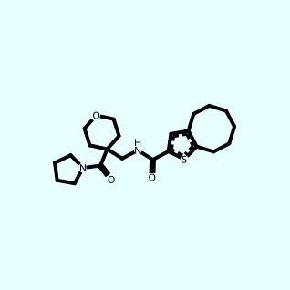 O=C(NCC1(C(=O)N2CCCC2)CCOCC1)c1cc2c(s1)CCCCCC2